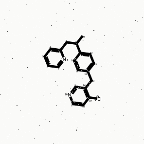 [CH2]C(Cc1ccccn1)c1ccc(Cc2cnccc2Cl)cc1